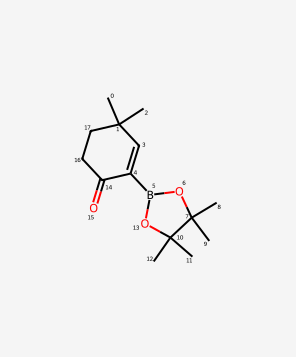 CC1(C)C=C(B2OC(C)(C)C(C)(C)O2)C(=O)CC1